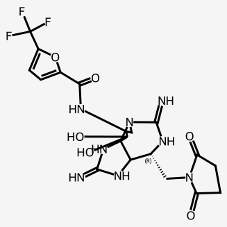 N=C1NC2[C@@H](CN3C(=O)CCC3=O)NC(=N)N3CC(NC(=O)c4ccc(C(F)(F)F)o4)C(O)(O)C23N1